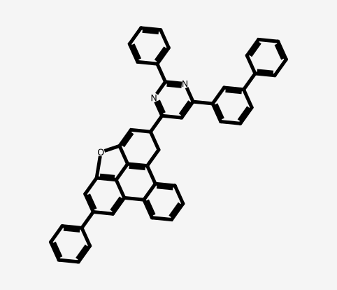 C1=c2oc3cc(-c4ccccc4)cc4c5ccccc5c(c2c34)CC1c1cc(-c2cccc(-c3ccccc3)c2)nc(-c2ccccc2)n1